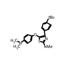 CNc1nc(-c2ccc(C(C)(C)C)cc2)c(Oc2ccc(N(C)C)cc2)s1